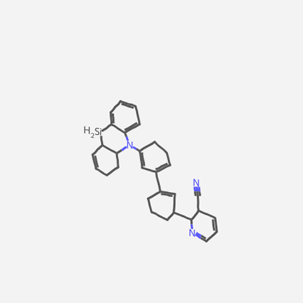 N#CC1C=CC=NC1C1C=C(C2=CCCC(N3c4ccccc4[SiH2]C4C=CCCC43)=C2)CCC1